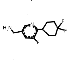 NCc1cnc(C2CCC(F)(F)CC2)c(F)c1